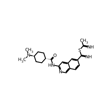 CC(=N)SC(=N)c1ccc2cnc(NC(=O)[C@H]3CC[C@H](N(C)C)CC3)cc2c1